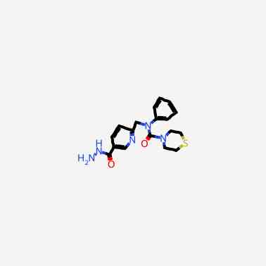 NNC(=O)c1ccc(CN(C(=O)N2CCSCC2)c2ccccc2)nc1